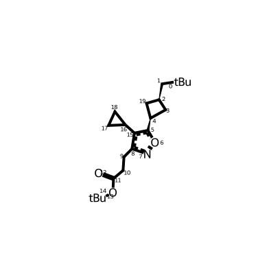 CC(C)(C)C[C@H]1C[C@@H](c2onc(CCC(=O)OC(C)(C)C)c2C2CC2)C1